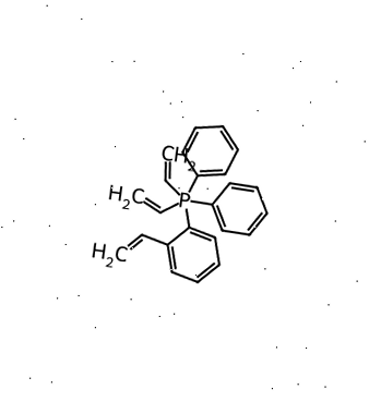 C=Cc1ccccc1P(C=C)(C=C)(c1ccccc1)c1ccccc1